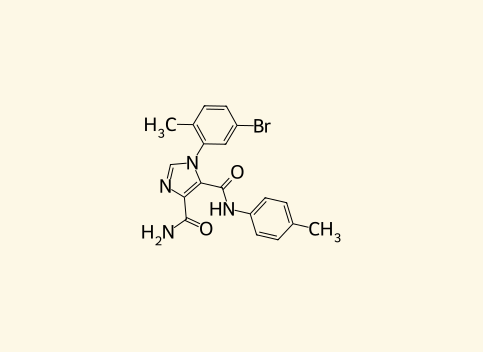 Cc1ccc(NC(=O)c2c(C(N)=O)ncn2-c2cc(Br)ccc2C)cc1